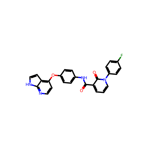 O=C(Nc1ccc(Oc2ccnc3[nH]ccc23)cc1)c1cccn(-c2ccc(F)cc2)c1=O